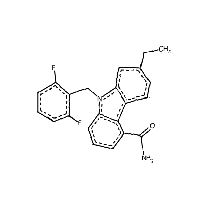 CCc1c[c]c2c3c(C(N)=O)cccc3n(Cc3c(F)cccc3F)c2c1